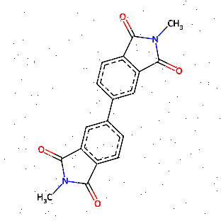 CN1C(=O)c2ccc(-c3ccc4c(c3)C(=O)N(C)C4=O)cc2C1=O